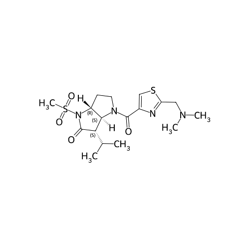 CC(C)[C@@H]1C(=O)N(S(C)(=O)=O)[C@@H]2CCN(C(=O)c3csc(CN(C)C)n3)[C@H]21